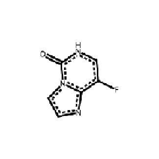 O=c1[nH]cc(F)c2nccn12